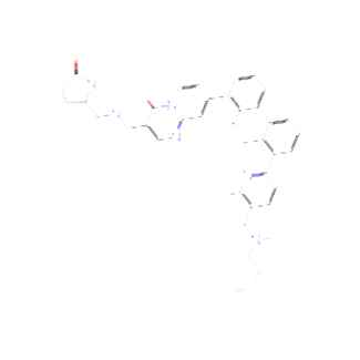 COc1nc(-c2cccc(-c3cccc(-c4ccn5c(=O)c(CNCC6CCC(=O)N6)cnc5c4)c3Cl)c2Cl)ccc1CNCCO